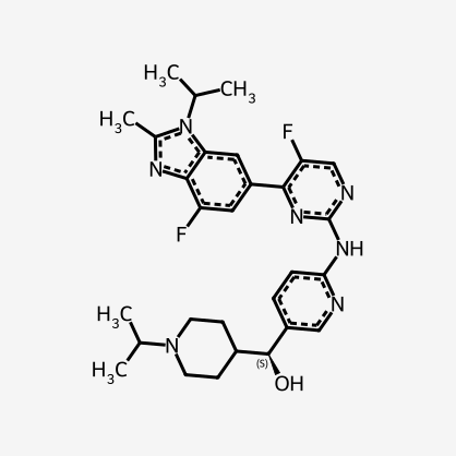 Cc1nc2c(F)cc(-c3nc(Nc4ccc([C@@H](O)C5CCN(C(C)C)CC5)cn4)ncc3F)cc2n1C(C)C